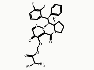 CC(C)[C@H](N)C(=O)OCOc1c2n(ncc1=O)[C@@H]([C@H](c1ccccc1)c1cccc(F)c1F)[C@H]1CCCN1C2=O